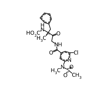 CN(c1cc(C(=O)NCC(=O)[C@@](C)(Cc2ccccc2)NC(=O)O)cc(Cl)n1)S(C)(=O)=O